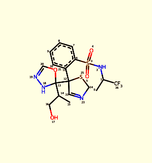 CC(NS(=O)(=O)c1ccccc1C1(C2(C(C)CO)NN=CO2)C=NCS1)C(F)(F)F